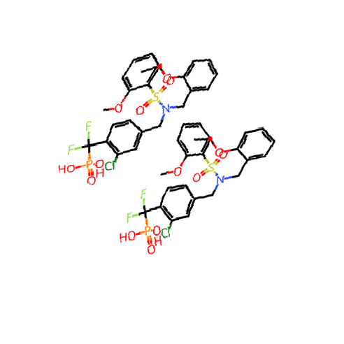 CCOc1ccccc1CN(Cc1ccc(C(F)(F)P(=O)(O)O)c(Cl)c1)S(=O)(=O)c1ccccc1OC.CCOc1ccccc1CN(Cc1ccc(C(F)(F)P(=O)(O)O)c(Cl)c1)S(=O)(=O)c1ccccc1OC